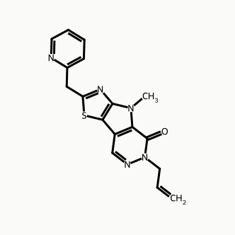 C=CCn1ncc2c3sc(Cc4ccccn4)nc3n(C)c2c1=O